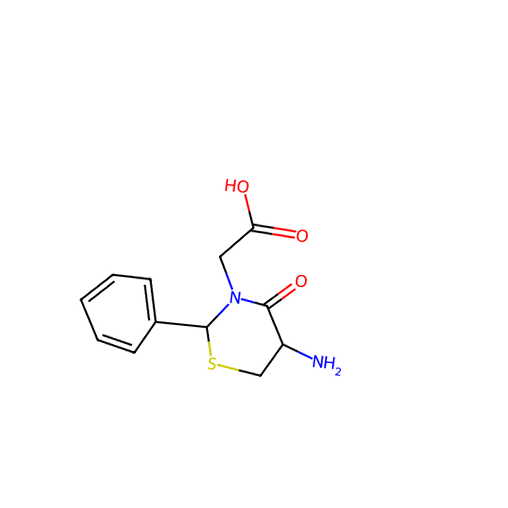 NC1CSC(c2ccccc2)N(CC(=O)O)C1=O